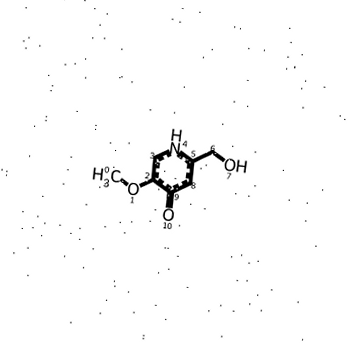 COc1c[nH]c(CO)cc1=O